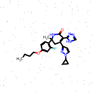 CCCCOc1ccc(C2(C)CC(c3ccn(C4CC4)n3)=C(c3nnc[nH]3)C(=O)N2)c(F)c1